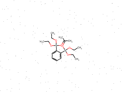 CCO[Si](OCC)(OCC)c1ccccc1[Si](OCC)(OCC)OCC